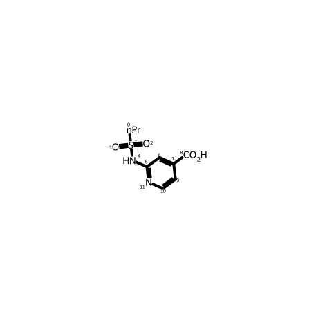 CCCS(=O)(=O)Nc1cc(C(=O)O)ccn1